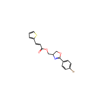 O=C(C=Cc1cccs1)OCC1COC(c2ccc(Br)cc2)=N1